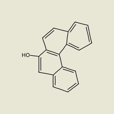 Oc1cc2ccccc2c2c1ccc1ccccc12